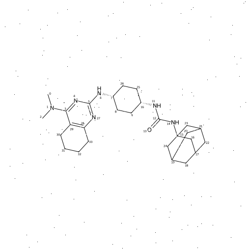 CN(C)c1nc(N[C@H]2CC[C@@H](NC(=O)NC34CC5CC(CC(C5)C3)C4)CC2)nc2c1CCCC2